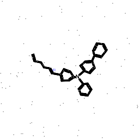 C=CCC/C=C/c1ccc(N(c2ccccc2)c2ccc(-c3ccccc3)cc2)cc1